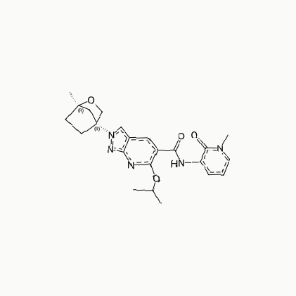 CC(C)Oc1nc2nn([C@]34CC[C@](C)(C3)OC4)cc2cc1C(=O)Nc1cccn(C)c1=O